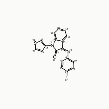 O=C1/C(=N\c2ccc(I)cc2)c2ccccc2N1c1ccsc1